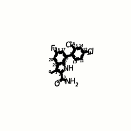 Cc1c(C(N)=O)[nH]c2c(-c3ccc(Cl)cc3Cl)cc(F)cc12